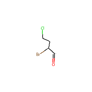 O=[C]C(Br)CCCl